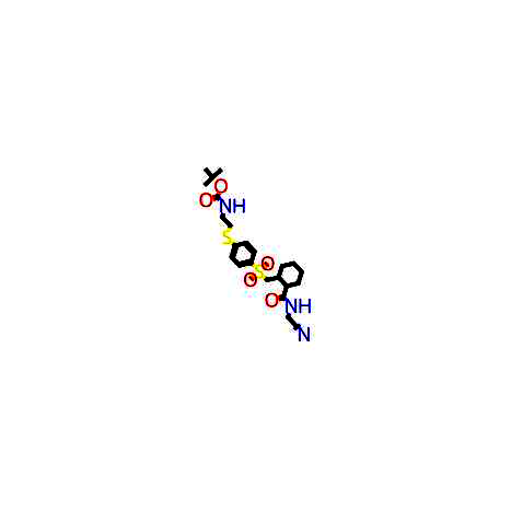 CC(C)(C)OC(=O)NCCSc1ccc(S(=O)(=O)CC2CCCCC2C(=O)NCC#N)cc1